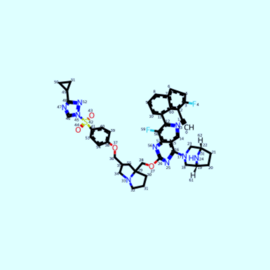 C#Cc1c(F)ccc2cccc(-c3ncc4c(N5C[C@H]6CC[C@@H](C5)N6)nc(OCC56CCCN5CC(COc5ccc(S(=O)(=O)n7cnc(C8CC8)n7)cc5)C6)nc4c3F)c12